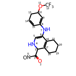 O=NC(=O)C1NC=C(NC2=CC(OC(F)(F)F)CC=C2)C2=C1CCCC2